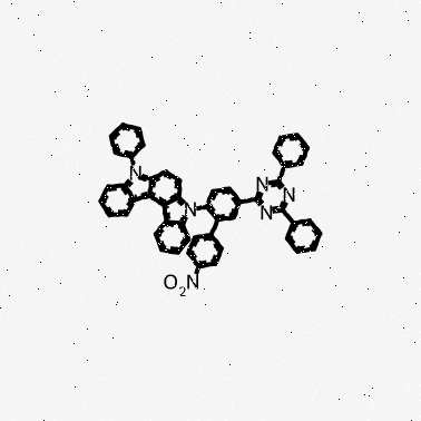 O=[N+]([O-])c1ccc(-c2cc(-c3nc(-c4ccccc4)nc(-c4ccccc4)n3)ccc2-n2c3ccccc3c3c4c5ccccc5n(-c5ccccc5)c4ccc32)cc1